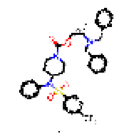 C[C@@H](COC(=O)N1CCC(N(c2ccccc2)S(=O)(=O)c2ccc(C(F)(F)F)cc2)CC1)N(Cc1ccccc1)Cc1ccccc1